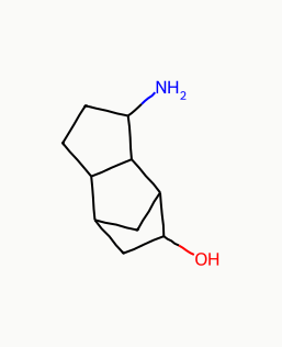 NC1CCC2C3CC(O)C(C3)C12